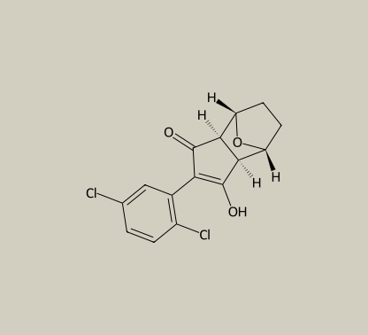 O=C1C(c2cc(Cl)ccc2Cl)=C(O)[C@H]2[C@@H]1[C@@H]1CC[C@H]2O1